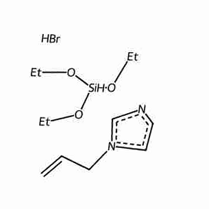 Br.C=CCn1ccnc1.CCO[SiH](OCC)OCC